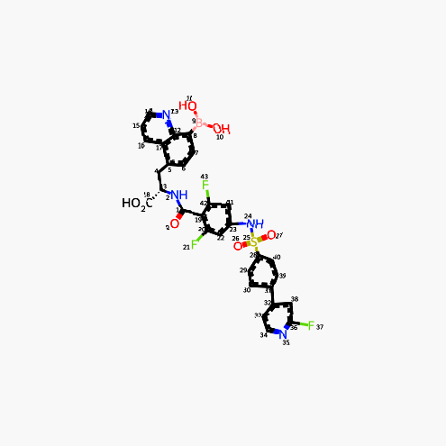 O=C(N[C@@H](Cc1ccc(B(O)O)c2ncccc12)C(=O)O)c1c(F)cc(NS(=O)(=O)c2ccc(-c3ccnc(F)c3)cc2)cc1F